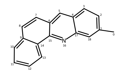 Cc1ccc2cc3ccc4ccccc4c3nc2c1